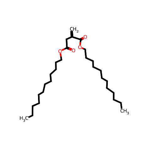 C=C(CC(=O)OCCCCCCCCCCCC)C(=O)OCCCCCCCCCCCC